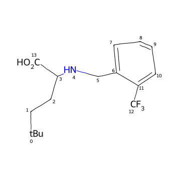 CC(C)(C)CCC(NCc1ccccc1C(F)(F)F)C(=O)O